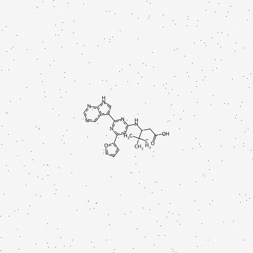 CC(C)(C)C(CC(=O)O)Nc1cc(-c2ccco2)nc(-c2c[nH]c3ncncc23)n1